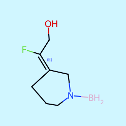 BN1CCC/C(=C(\F)CO)C1